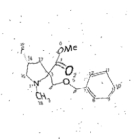 COC(=O)C1(COCc2ccccc2)C[C@@H](F)CN1C